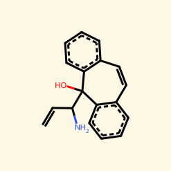 C=CC(N)C1(O)c2ccccc2C=Cc2ccccc21